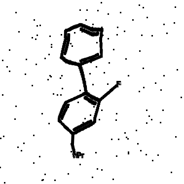 [CH2]CCc1ccc(-c2ccccc2)c(F)c1